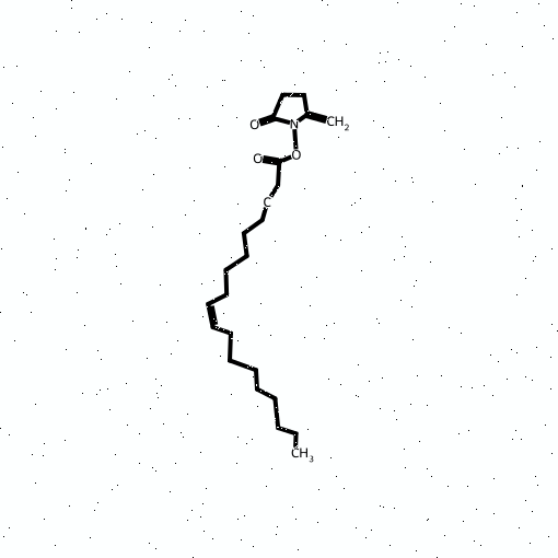 C=C1CCC(=O)N1OC(=O)CCCCCCC/C=C\CCCCCCCC